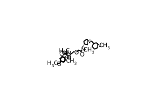 COc1cc(C)c(S(=O)(=O)N(C)CCOCC(=O)N(C)C[C@@H]2CCN(CC3CCCN(C)C3)C2)c(C)c1